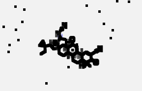 CCC1(CC[C@]2(N/C(C)=N/C#N)CC[C@]3(C)[C@@H](C2)C(=O)C=C2[C@@]4(C)C=C(C#N)C(=O)C(C)(C)[C@@H]4CC[C@]23C)CC1